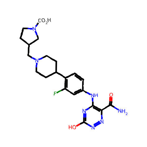 NC(=O)c1nnc(O)nc1Nc1ccc(C2CCN(CC3CCN(C(=O)O)C3)CC2)c(F)c1